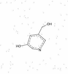 OCc1cncc(O)c1